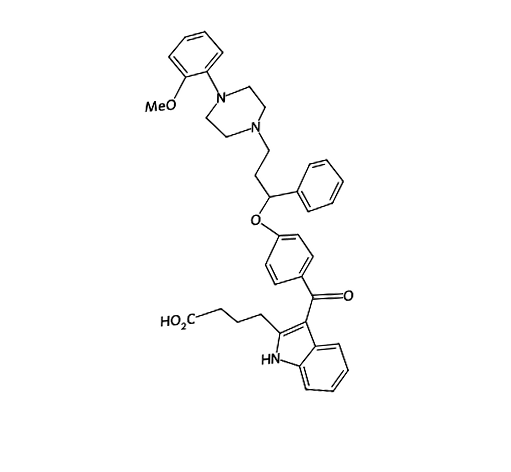 COc1ccccc1N1CCN(CCC(Oc2ccc(C(=O)c3c(CCCC(=O)O)[nH]c4ccccc34)cc2)c2ccccc2)CC1